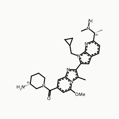 COc1cc(C(=O)N2CCC[C@@H](N)C2)cc2nc(-c3cc4ccc([C@@H](C)N(C)C(C)=O)nc4n3CC3CC3)c(C)n12